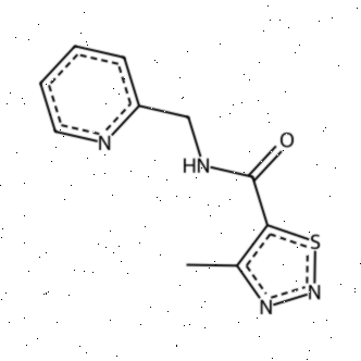 Cc1nnsc1C(=O)NCc1ccccn1